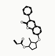 C=CC(=O)OC1CCC(Oc2ccc3cc(-c4ccccc4)c(=O)oc3c2)C1C